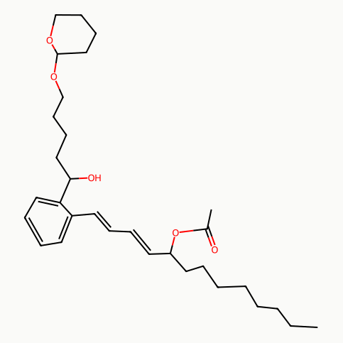 CCCCCCCCC(C=CC=Cc1ccccc1C(O)CCCCOC1CCCCO1)OC(C)=O